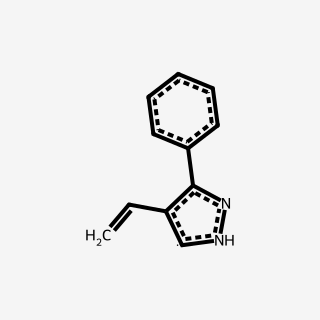 C=Cc1[c][nH]nc1-c1ccccc1